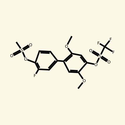 COc1cc(-c2ccc(OS(C)(=O)=O)c(F)c2)c(OC)cc1OS(=O)(=O)C(F)(F)F